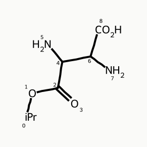 CC(C)OC(=O)C(N)C(N)C(=O)O